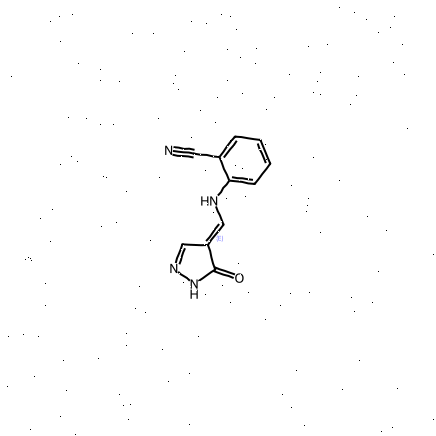 N#Cc1ccccc1N/C=C1\C=NNC1=O